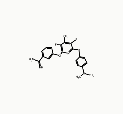 Cc1c(F)c(Oc2ccc(N(C)C)cc2)nc(Oc2cccc(C(=N)N)c2)c1F